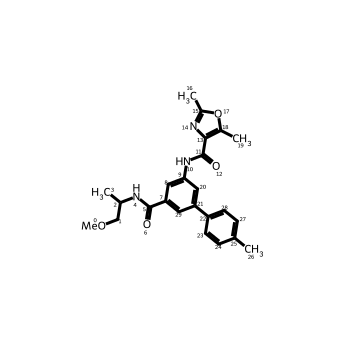 COCC(C)NC(=O)c1cc(NC(=O)c2nc(C)oc2C)cc(-c2ccc(C)cc2)c1